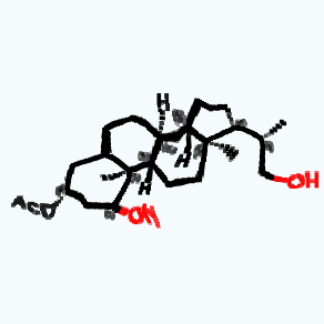 CC(=O)O[C@@H]1CC2=CC[C@H]3[C@@H]4CC[C@H]([C@H](C)CO)[C@@]4(C)CC[C@@H]3[C@@]2(C)[C@@H](O)C1